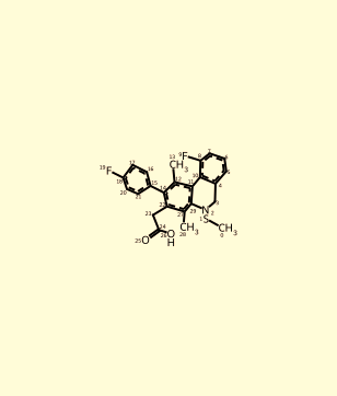 CSN1Cc2cccc(F)c2-c2c(C)c(-c3ccc(F)cc3)c(CC(=O)O)c(C)c21